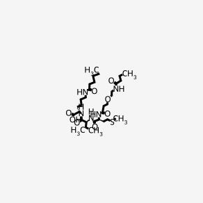 CCCCCC(=O)NCCCC[C@H](NC(=O)[C@@H](NC(=O)[C@H](CCSC)NC(=O)CCOCCNC(=O)CCC)C(C)C)C(=O)O